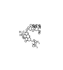 CO[C@H](CC(C)=O)C1CC(=O)c2c(cc3cc(O[C@H]4C[C@@H](O[C@H]5C[C@@H](N=O)[C@H](N=O)C(C)O5)[C@H](NO)C(C)O4)c(C)c(O)c3c2N=O)C1